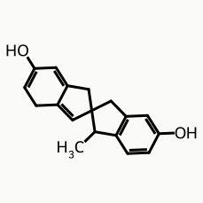 CC1c2ccc(O)cc2CC12C=C1CC=C(O)C=C1C2